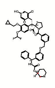 O=C(N[C@@H](c1ccccc1)c1cccc(OCc2cccc(C(=O)N3CCS[C@]3(C(=O)[O-])[C@@H](Cc3c(Cl)c[n+](O)cc3Cl)c3ccc(OC(F)F)c(OCC4CC4)c3)c2)c1)O[C@H]1CN2CCC1CC2